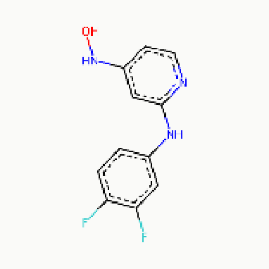 ONc1ccnc(Nc2ccc(F)c(F)c2)c1